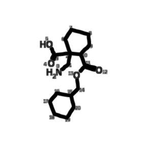 NCC1(C(=O)O)CCCCC1C(=O)OCC1CCCCC1